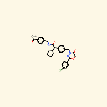 COC(=O)c1ccc(CNC(=O)C(c2ccc(CN3N=C(c4ccc(Cl)cc4)OCC3=O)cc2)C2CCCC2)cc1